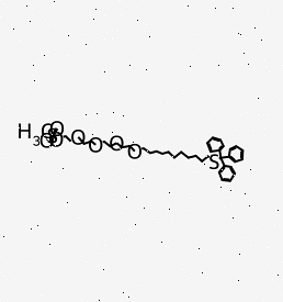 CS(=O)(=O)OCCOCCOCCOCCOCCCCCCCCCCCSC(c1ccccc1)(c1ccccc1)c1ccccc1